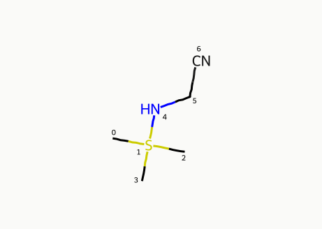 CS(C)(C)NCC#N